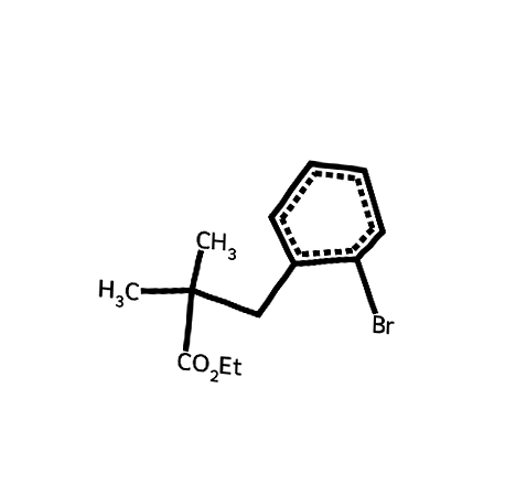 CCOC(=O)C(C)(C)Cc1ccccc1Br